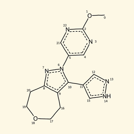 COc1ncc(-n2nc3c(c2-c2cn[nH]c2)CCOCC3)cn1